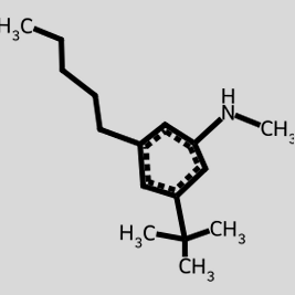 CCCCCc1cc(NC)cc(C(C)(C)C)c1